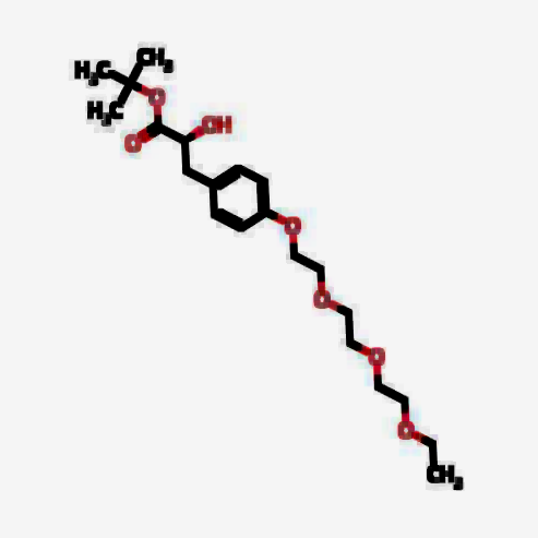 CCOCCOCCOCCOc1ccc(C[C@H](O)C(=O)OC(C)(C)C)cc1